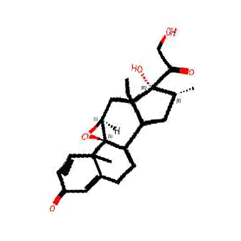 C[C@@H]1CC2C3CCC4=CC(=O)C=CC4(C)[C@@]34O[C@H]4CC2(C)[C@@]1(O)C(=O)CO